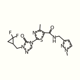 Cc1nc(-n2cnn(CC3CC3(F)F)c2=O)sc1C(=O)NCc1ccn(C)n1